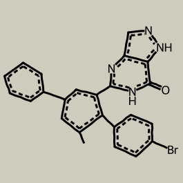 Cc1cc(-c2ccccc2)cc(-c2nc3cn[nH]c3c(=O)[nH]2)c1-c1ccc(Br)cc1